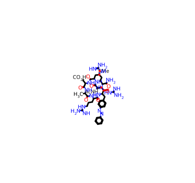 CSCCC(NC(=O)C(CCCNC(=N)N)NC(C)=O)C(=O)NC(CC(=O)O)C(=O)NC(C)C(=O)NC(CCCNC(=N)N)C(=O)NC(Cc1ccc(/N=N/c2ccccc2)cc1)C(=O)NC(CCCNC(=N)N)C(N)=O